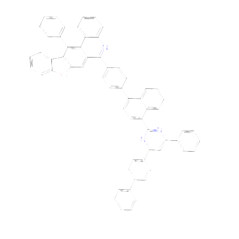 c1ccc(-c2ccc(-c3cc(-c4ccccc4)nc(-c4ccc(-c5ccc(-c6nc7ccccc7c7c(-c8ccccc8)c8c(cc67)oc6ccccc68)cc5)c5ccccc45)n3)cc2)cc1